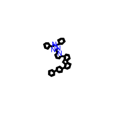 c1ccc(-c2ccc(-c3cccc4c3Cc3c(-c5cccc(-c6nc(-c7ccccc7)nc(-c7ccccc7)n6)n5)cccc3-4)cc2)cc1